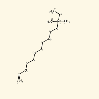 C=COCCOCCOCC[N+](C)(C)CC